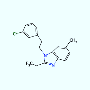 Cc1ccc2nc(CC(F)(F)F)n(CCc3cccc(Cl)c3)c2c1